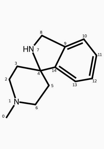 CN1CCC2(CC1)NCc1ccccc12